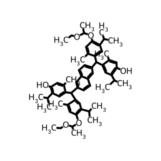 CCOC(C)Oc1cc(C)c(C(c2ccc3cc(C(c4cc(C(C)C)c(O)cc4C)c4cc(C(C)C)c(OC(C)OCC)cc4C)ccc3c2)c2cc(C(C)C)c(O)cc2C)cc1C(C)C